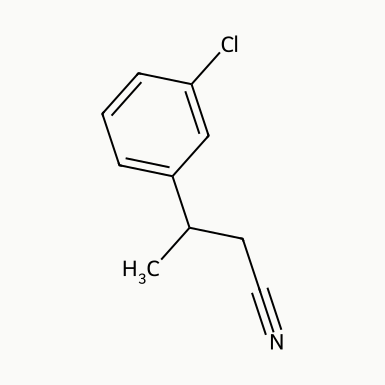 CC(CC#N)c1cccc(Cl)c1